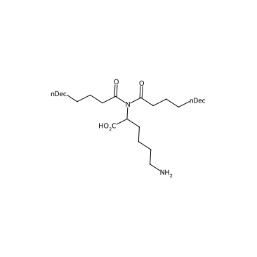 CCCCCCCCCCCCCC(=O)N(C(=O)CCCCCCCCCCCCC)C(CCCCN)C(=O)O